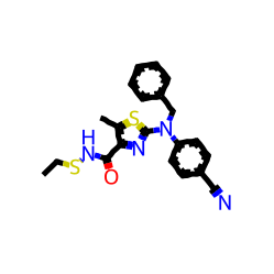 CCSNC(=O)c1nc(N(Cc2ccccc2)c2ccc(C#N)cc2)sc1C